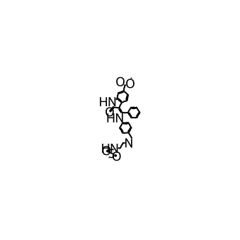 COC(=O)c1ccc2c(c1)NC(=O)/C2=C(\Nc1ccc(CN(C)CCNS(C)(=O)=O)cc1)c1ccccc1